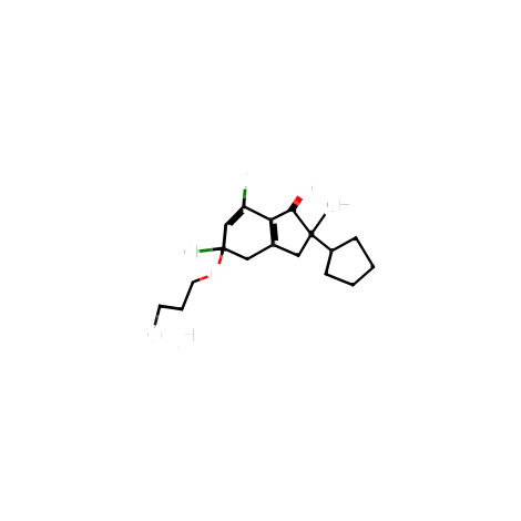 CC1(C2CCCC2)CC2=C(C1=O)C(Cl)=CC(Cl)(OCCCC(=O)O)C2